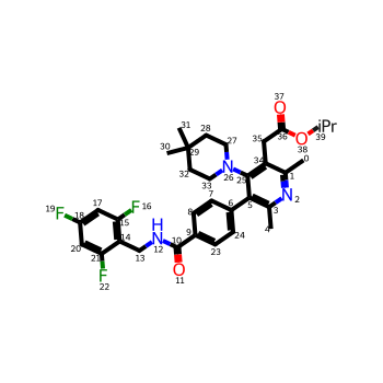 Cc1nc(C)c(-c2ccc(C(=O)NCc3c(F)cc(F)cc3F)cc2)c(N2CCC(C)(C)CC2)c1CC(=O)OC(C)C